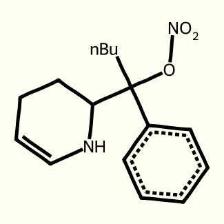 CCCCC(O[N+](=O)[O-])(c1ccccc1)C1CCC=CN1